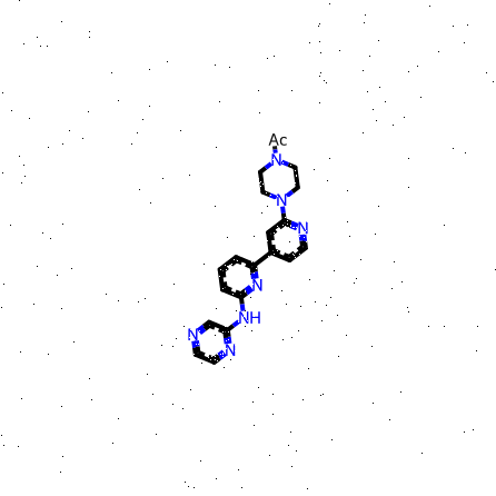 CC(=O)N1CCN(c2cc(-c3cccc(Nc4cnccn4)n3)ccn2)CC1